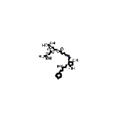 O=C(CCC/C=C\C[C@@H]1[C@@H](CC[C@@H](O)CCc2ccccc2)[C@H](O)C[C@@H]1O)OCC(CON(O)O)OC(=O)CON(O)O